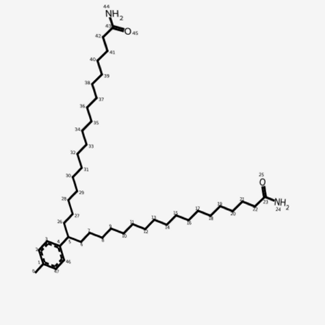 Cc1ccc(C(CCCCCCCCCCCCCCCCCC(N)=O)CCCCCCCCCCCCCCCCCC(N)=O)cc1